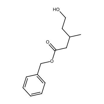 CC(CCO)CC(=O)OCc1ccccc1